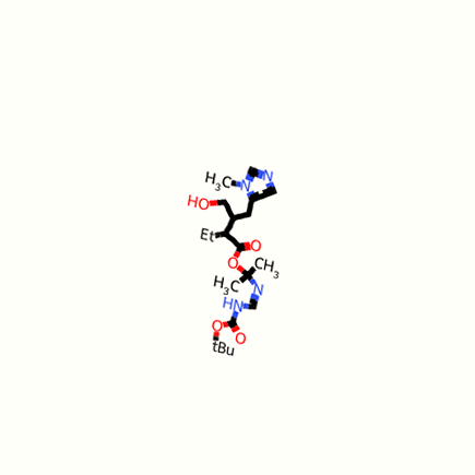 CCC(C(=O)OC(C)(C)/N=C\NC(=O)OC(C)(C)C)C(CO)Cc1cncn1C